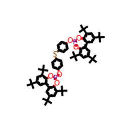 CC(C)(C)c1cc(C(C)(C)C)c2op(Oc3ccc(Sc4ccc(Op5oc6c(C(C)(C)C)cc(C(C)(C)C)cc6c6cc(C(C)(C)C)cc(C(C)(C)C)c6o5)cc4)cc3)oc3c(C(C)(C)C)cc(C(C)(C)C)cc3c2c1